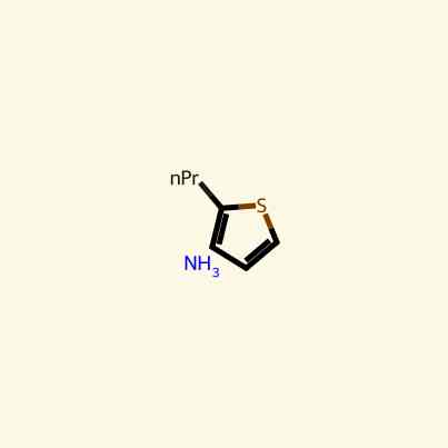 CCCc1cccs1.N